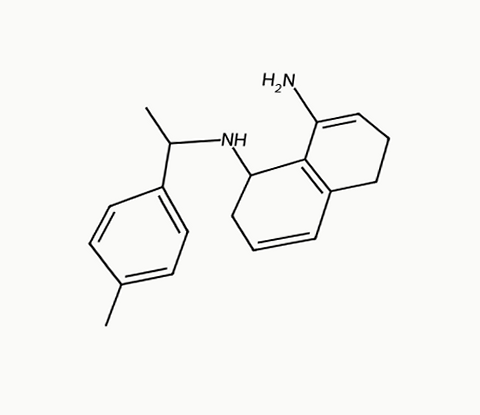 Cc1ccc(C(C)NC2CC=CC3=C2C(N)=CCC3)cc1